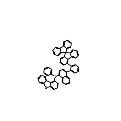 c1ccc(N(c2ccc(-c3ccccc3-c3cccc4c3-c3ccccc3C43c4ccccc4-c4ccccc43)c3ccccc23)c2cccc3sc4ccccc4c23)cc1